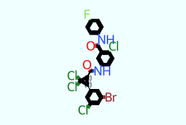 O=C(Nc1ccc(F)cc1)c1cc(NC(=O)[C@H]2[C@H](c3cc(Cl)cc(Br)c3)C2(Cl)Cl)ccc1Cl